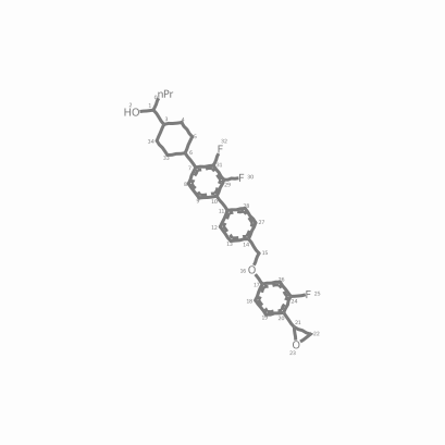 CCCC(O)C1CCC(c2ccc(-c3ccc(COc4ccc(C5CO5)c(F)c4)cc3)c(F)c2F)CC1